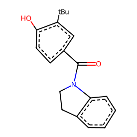 CC(C)(C)c1cc(C(=O)N2CCc3ccccc32)ccc1O